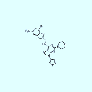 FC(F)(F)c1cc(Br)c2nc(CNc3nc(N4CCOCC4)nc4c3ncn4-c3ccsc3)[nH]c2c1